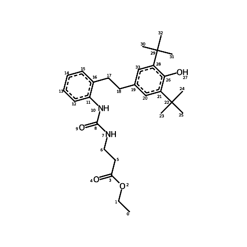 CCOC(=O)CCNC(=O)Nc1ccccc1CCc1cc(C(C)(C)C)c(O)c(C(C)(C)C)c1